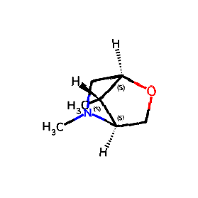 C[C@H]1[C@H]2CO[C@@H]1CN2C